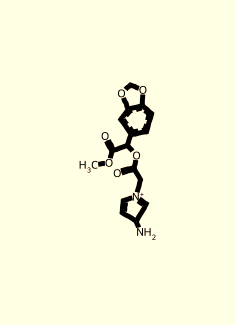 COC(=O)C(OC(=O)C[N+]1=CC(N)C=C1)c1ccc2c(c1)OCO2